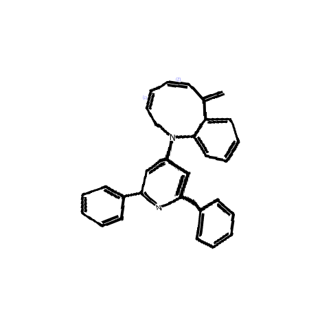 C=C1/C=C\C=C/CN(c2cc(-c3ccccc3)nc(-c3ccccc3)c2)c2ccccc21